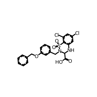 O=C(O)C1Nc2cc(Cl)cc(Cl)c2S(=O)(=O)N1Cc1cccc(OCc2ccccc2)c1